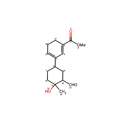 COC(=O)C1=CC(C2CCC(C)(O)C(C=O)C2)=CCC1